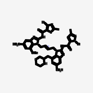 CCc1nc(C)sc1C(=O)Nc1nc2cc(C(=O)O)cc(OC)c2n1C/C=C/Cn1c(NC(=O)c2cc(C)nn2CC)nc2cc(C(=O)O)cc(CC3COCCN3)c21